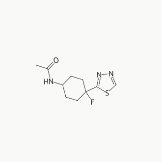 CC(=O)NC1CCC(F)(c2nncs2)CC1